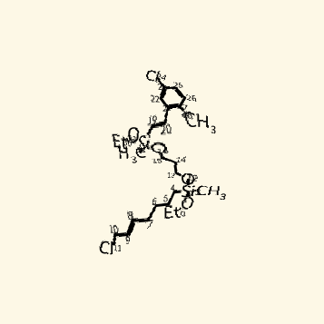 CCO[Si](C)(CCCCC=CCCl)OCCCO[Si](C)(CCc1cc(Cl)ccc1C)OCC